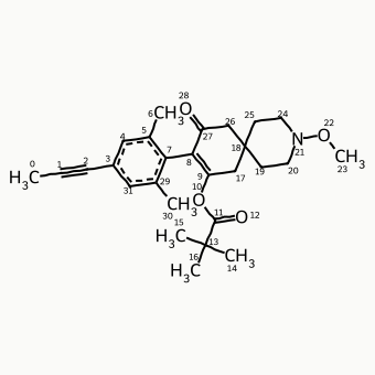 CC#Cc1cc(C)c(C2=C(OC(=O)C(C)(C)C)CC3(CCN(OC)CC3)CC2=O)c(C)c1